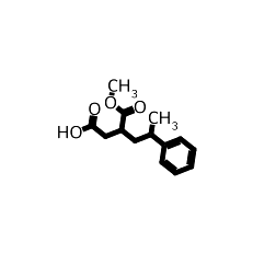 COC(=O)C(CC(=O)O)CC(C)c1ccccc1